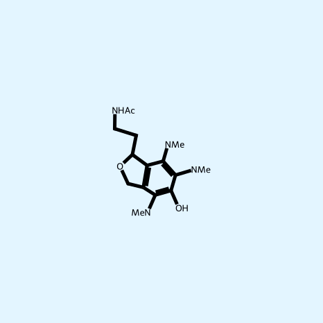 CNc1c(O)c(NC)c(NC)c2c1COC2CCNC(C)=O